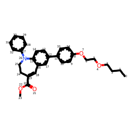 CCCCOCCOc1ccc(-c2ccc3c(c2)C=C(C(=O)OC)CCN3c2ccccc2)cc1